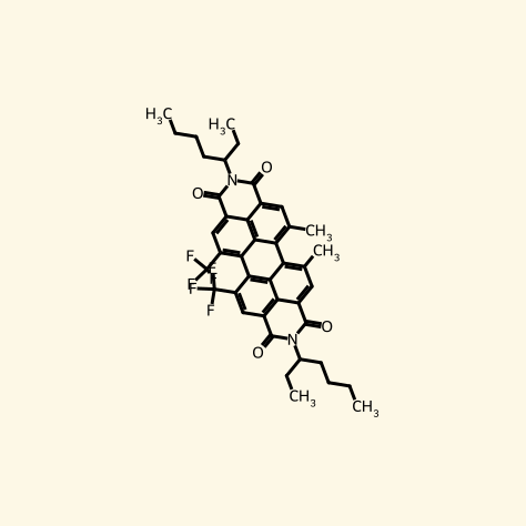 CCCCC(CC)N1C(=O)c2cc(C)c3c4c(C)cc5c6c(cc(C(F)(F)F)c(c7c(C(F)(F)F)cc(c2c37)C1=O)c64)C(=O)N(C(CC)CCCC)C5=O